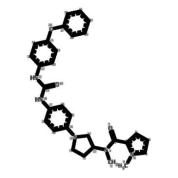 CN(C(=O)c1cccn1C)C1CCN(c2ccc(NC(=O)Nc3ccc(Oc4ccccc4)cc3)cc2)C1